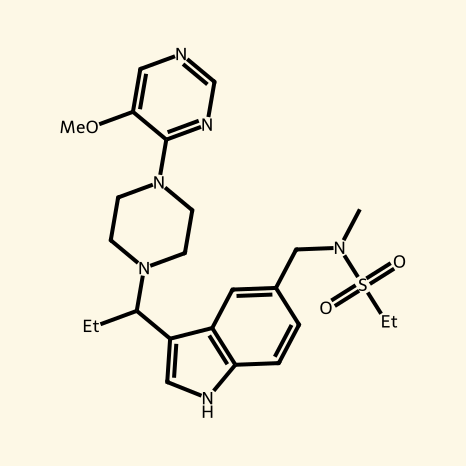 CCC(c1c[nH]c2ccc(CN(C)S(=O)(=O)CC)cc12)N1CCN(c2ncncc2OC)CC1